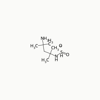 CC(C)(N)CC(C)(C)N[SH](=O)=O